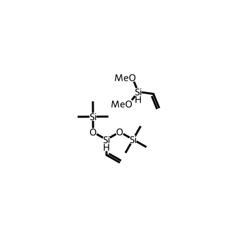 C=C[SiH](OC)OC.C=C[SiH](O[Si](C)(C)C)O[Si](C)(C)C